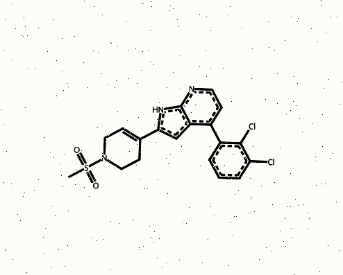 CS(=O)(=O)N1CC=C(c2cc3c(-c4cccc(Cl)c4Cl)ccnc3[nH]2)CC1